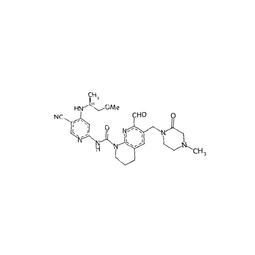 COC[C@H](C)Nc1cc(NC(=O)N2CCCc3cc(CN4CCN(C)CC4=O)c(C=O)nc32)ncc1C#N